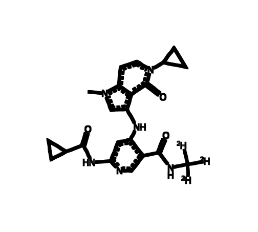 [2H]C([2H])([2H])NC(=O)c1cnc(NC(=O)C2CC2)cc1Nc1cn(C)c2ccn(C3CC3)c(=O)c12